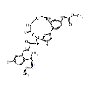 C=N/N=C\N(N)c1ccc(Cl)cc1/C=C/C(=O)N[C@H]1CC(=O)NCCCNc2cc(NC(=O)OC)ccc2-c2c[nH]c1n2